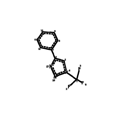 FC(F)(F)n1cc(-c2ccccc2)nn1